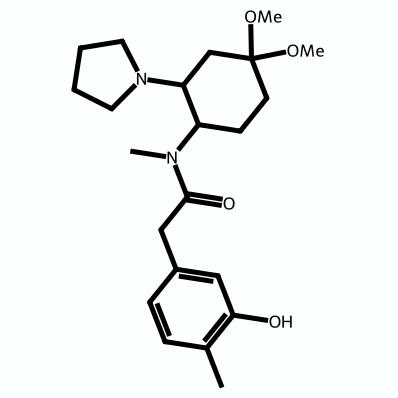 COC1(OC)CCC(N(C)C(=O)Cc2ccc(C)c(O)c2)C(N2CCCC2)C1